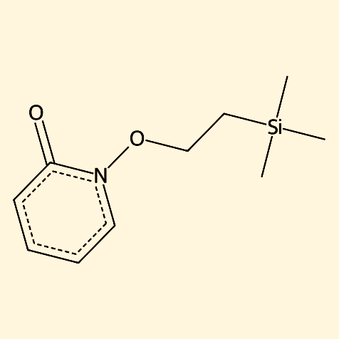 C[Si](C)(C)CCOn1ccccc1=O